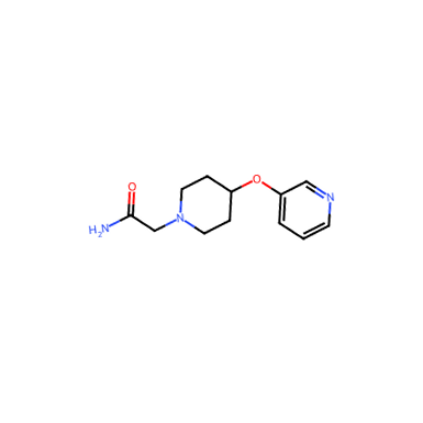 NC(=O)CN1CCC(Oc2cccnc2)CC1